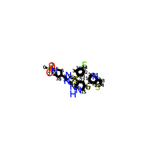 CS(=O)(=O)N1CCC(c2nsc(Nc3ncc(Sc4ccnc5ccsc45)cc3Sc3ccc(F)cc3)n2)CC1